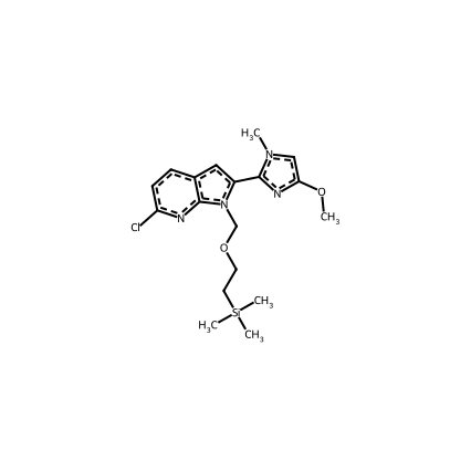 COc1cn(C)c(-c2cc3ccc(Cl)nc3n2COCC[Si](C)(C)C)n1